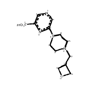 O=C(O)c1cncc(N2CCN(CC3COC3)CC2)n1